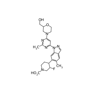 Cc1nc(N2CCOC(CO)C2)cc(-n2ncc3cc(C)c(C4CCN(C(=O)O)CC4F)cc32)n1